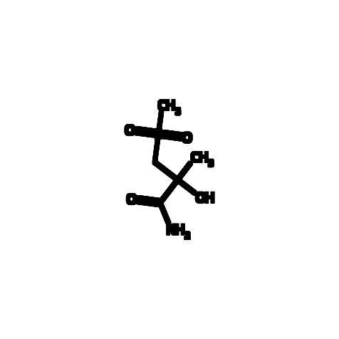 CC(O)(CS(C)(=O)=O)C(N)=O